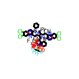 CC(C)c1c2/c(=C(\C#N)c3cnc4cc(Cl)c(Cl)cc4n3)n(B(c3ccccc3)c3ccccc3)c(-c3cccc(OS(=O)(=O)C(F)(F)C(F)(F)C(F)(F)S(=O)(=O)NS(=O)(=O)C(F)(F)F)c3)c2/c(=C(\C#N)c2cnc3cc(Cl)c(Cl)cc3n2)n1B(c1ccccc1)c1ccccc1